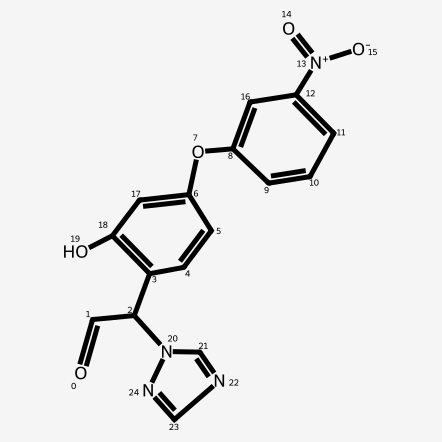 O=CC(c1ccc(Oc2cccc([N+](=O)[O-])c2)cc1O)n1cncn1